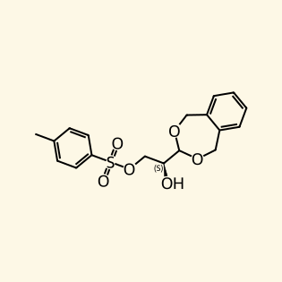 Cc1ccc(S(=O)(=O)OC[C@H](O)C2OCc3ccccc3CO2)cc1